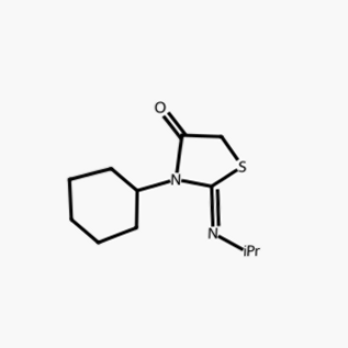 CC(C)N=C1SCC(=O)N1C1CCCCC1